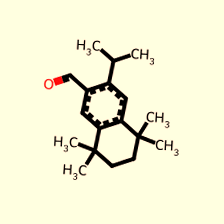 CC(C)c1cc2c(cc1C=O)C(C)(C)CCC2(C)C